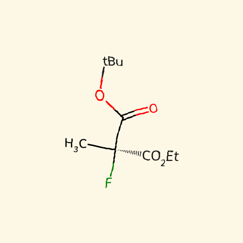 CCOC(=O)[C@@](C)(F)C(=O)OC(C)(C)C